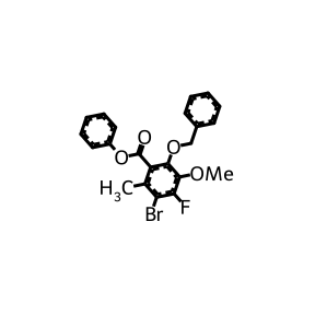 COc1c(F)c(Br)c(C)c(C(=O)Oc2ccccc2)c1OCc1ccccc1